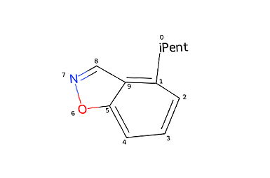 CCCC(C)c1cccc2oncc12